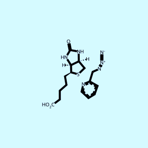 O=C(O)CCCC[C@@H]1SC[C@@H]2NC(=O)N[C@@H]21.[N-]=[N+]=NCc1ccccn1